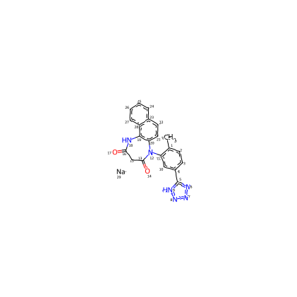 Cc1ccc(-c2nnn[nH]2)cc1N1C(=O)CC(=O)Nc2c1ccc1ccccc21.[Na]